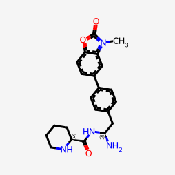 Cn1c(=O)oc2ccc(-c3ccc(C[C@@H](N)NC(=O)[C@@H]4CCCCN4)cc3)cc21